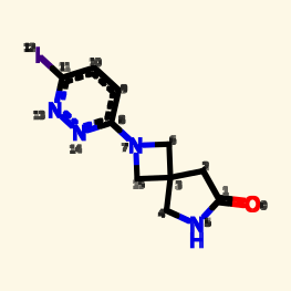 O=C1CC2(CN1)CN(c1ccc(I)nn1)C2